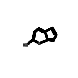 Oc1ccc2cccc-2o1